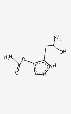 NC(=O)Oc1cn[nH]c1CC(N)O